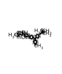 C=C(/C=C(\C)C(I)(CCCCCCCC)C(=C)C)c1ccc(-c2ccc(N(c3ccc(C)cc3)c3ccc(C#C[Si](C)(C)C)cc3)cc2)cc1